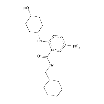 O=C(NCC1CCCCC1)c1cc([N+](=O)[O-])ccc1N[C@H]1CC[C@@H](O)CC1